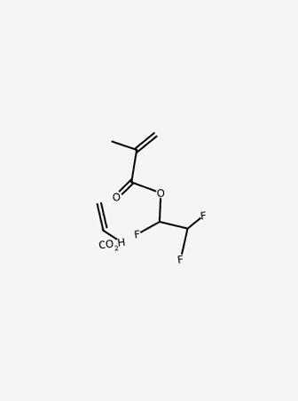 C=C(C)C(=O)OC(F)C(F)F.C=CC(=O)O